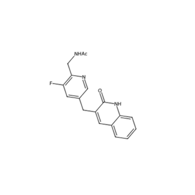 CC(=O)NCc1ncc(Cc2cc3ccccc3[nH]c2=O)cc1F